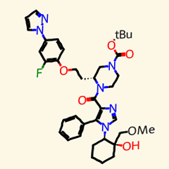 COC[C@]1(O)CCCC[C@H]1n1cnc(C(=O)N2CCN(C(=O)OC(C)(C)C)C[C@H]2CCOc2ccc(-n3cccn3)cc2F)c1-c1ccccc1